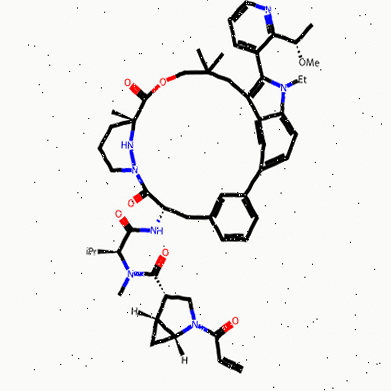 C=CC(=O)N1C[C@@H](C(=O)N(C)[C@H](C(=O)N[C@H]2Cc3cccc(c3)-c3ccc4c(c3)c(c(-c3cccnc3[C@H](C)OC)n4CC)CC(C)(C)COC(=O)[C@@]3(C)CCCN(N3)C2=O)C(C)C)[C@H]2C[C@H]21